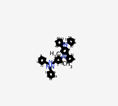 Cc1cc(-c2nc(-c3ccccc3)nc(-c3ccccc3)n2)cc(C)c1-n1c2ccccc2c2cc3c(cc21)c1ccccc1n3-c1ccccc1